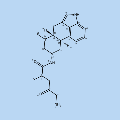 CN(CC(=O)CN)C(=O)N[C@H]1C[C@@H]2c3cccc4[nH]cc(c34)C[C@H]2N(C)C1